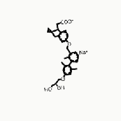 Cc1cc(OC[C@@H](O)CO)cc(C)c1-c1cccc(COc2ccc3c(c2)CC2(CC2)C3CC(=O)[O-])c1C.[Na+]